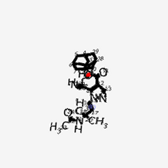 COC12CC3CC(C1)C(NC(=O)c1cnn(/C=C/C(C)(C)NC(C)=O)c1C#N)C(C3)C2